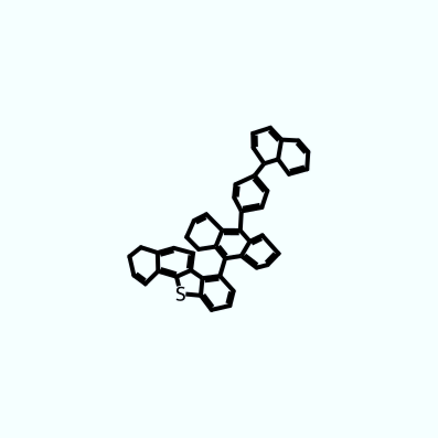 C1=CC2=CC=CC(c3ccc(-c4c5c(c(-c6cccc7sc8c9c(ccc8c67)CCC=C9)c6ccccc46)CCC=C5)cc3)C2C=C1